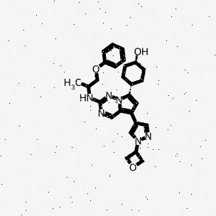 CC(COc1ccccc1)Nc1ncc2c(-c3cnn(C4COC4)c3)cc([C@H]3CC[C@H](O)CC3)n2n1